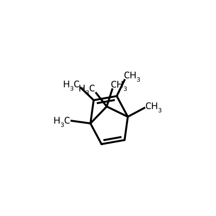 CC1=C(C)C2(C)C=CC1(C)C2(C)C